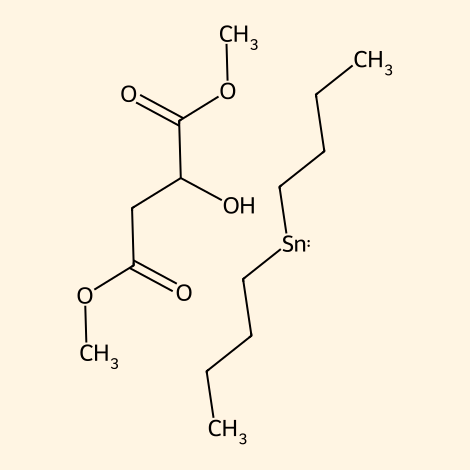 CCC[CH2][Sn][CH2]CCC.COC(=O)CC(O)C(=O)OC